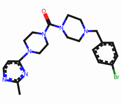 Cc1nccc(N2CCN(C(=O)N3CCN(Cc4ccc(Br)cc4)CC3)CC2)n1